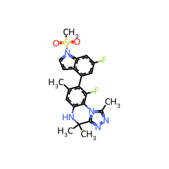 Cc1cc2c(c(F)c1-c1cc(F)cc3c1ccn3S(C)(=O)=O)-n1c(C)nnc1C(C)(C)N2